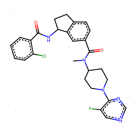 CN(C(=O)c1ccc2c(c1)C(NC(=O)c1ccccc1Cl)CC2)C1CCN(c2ncncc2F)CC1